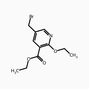 CCOC(=O)c1cc(CBr)cnc1OCC